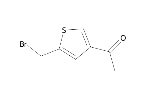 CC(=O)c1csc(CBr)c1